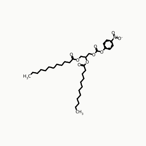 CCCCCCCCCCCC(=O)OCC(COC(=O)Oc1ccc([N+](=O)[O-])cc1)OC(=O)CCCCCCCCCCC